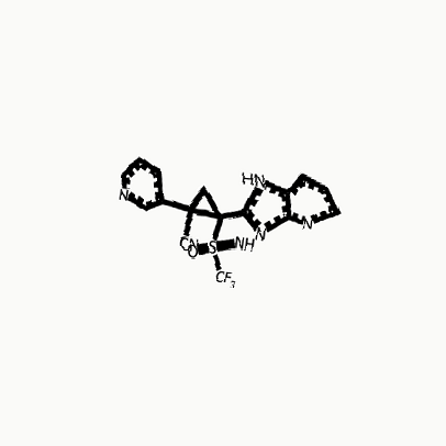 N#CC1(c2cccnc2)CC1(c1nc2ncccc2[nH]1)S(=N)(=O)C(F)(F)F